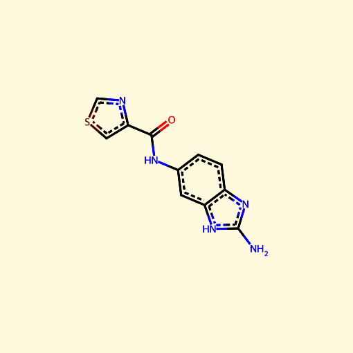 Nc1nc2ccc(NC(=O)c3cscn3)cc2[nH]1